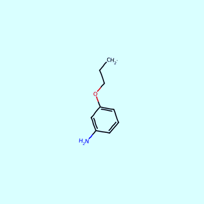 [CH2]CCOc1cccc(N)c1